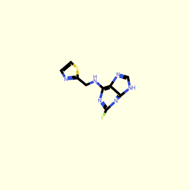 Fc1nc(NCc2nccs2)c2nc[nH]c2n1